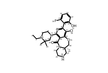 CCN1CCN(c2nc(-c3c(O)cccc3F)c(Cl)c3c2C(=O)N2CCNC[C@]2(C)CO3)CC1(C)C